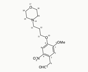 COc1cc(CC=O)c([N+](=O)[O-])cc1OCCCN1CCOCC1